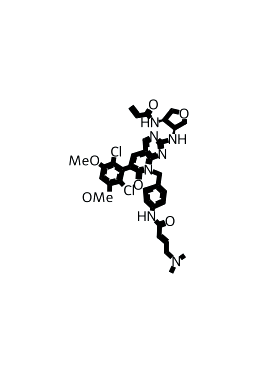 C=CC(=O)N[C@H]1COC[C@H]1Nc1ncc2cc(-c3c(Cl)c(OC)cc(OC)c3Cl)c(=O)n(Cc3ccc(NC(=O)/C=C/CN(C)C)cc3)c2n1